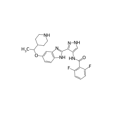 CC(Oc1ccc2[nH]c(-c3n[nH]cc3NC(=O)c3c(F)cccc3F)nc2c1)C1CCNCC1